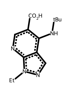 CCn1ncc2c(NC(C)(C)C)c(C(=O)O)cnc21